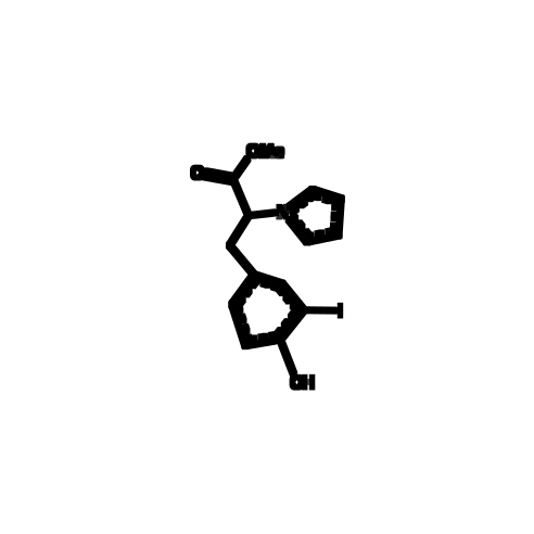 COC(=O)C(Cc1ccc(O)c(I)c1)n1cccc1